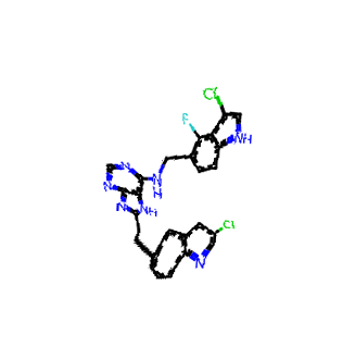 Fc1c(CNc2ncnc3nc(Cc4ccc5ncc(Cl)cc5c4)[nH]c23)ccc2[nH]cc(Cl)c12